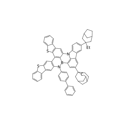 CCC1(c2ccc3c(c2)c2cc(C45CCC6CC(CC6C4)C5)cc4c2n3-c2cc3c(sc5ccccc53)c3c2B4N(c2ccc(-c4ccccc4)cc2)c2cc4c(cc2-3)sc2ccccc24)CC2CCC(C2)C1